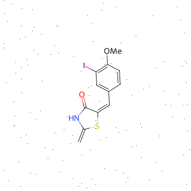 C=c1[nH]c(=O)/c(=C\c2ccc(OC)c(I)c2)s1